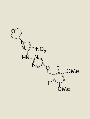 COc1cc(OC)c(F)c(COc2cnc(Nc3nn(C4CCOCC4)cc3[N+](=O)[O-])nc2)c1F